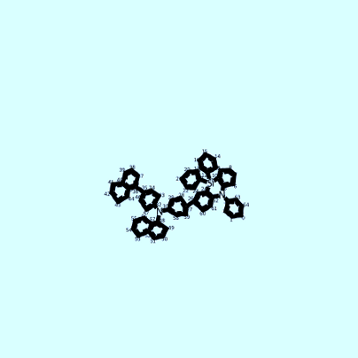 c1ccc(N2c3ccccc3[Si](c3ccccc3)(c3ccccc3)c3cc(-c4ccc(N(c5ccc(-c6cccc7ccccc67)cc5)c5cccc6ccccc56)cc4)ccc32)cc1